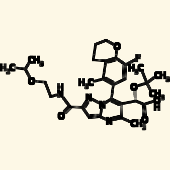 Cc1nc2cc(C(=O)NCCOC(C)C)nn2c(-c2cc(F)c3c(c2C)CCCO3)c1[C@H](OC(C)(C)C)C(=O)O